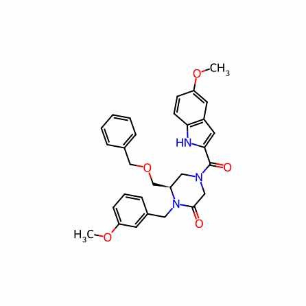 COc1cccc(CN2C(=O)CN(C(=O)c3cc4cc(OC)ccc4[nH]3)C[C@@H]2COCc2ccccc2)c1